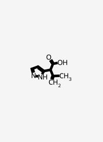 C=C(C)C(C(=O)O)c1ccn[nH]1